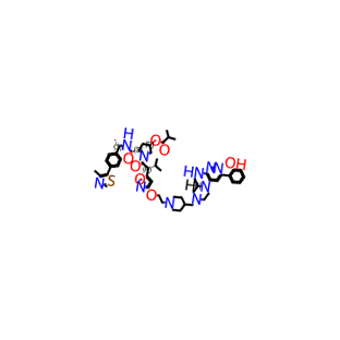 Cc1ncsc1-c1ccc([C@H](C)NC(=O)[C@@H]2C[C@@H](OC(=O)C(C)C)CN2C(=O)[C@@H](c2cc(OCCN3CCC(CN4CCN5c6cc(-c7ccccc7O)nnc6NC[C@H]5C4)CC3)no2)C(C)C)cc1